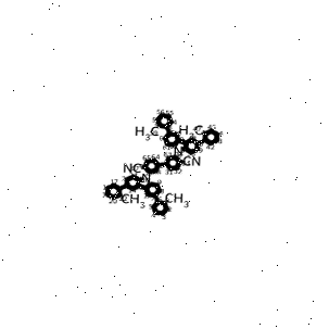 Cc1ccccc1-c1ccc2c(c1)c1cc(-c3ccccc3C)ccc1n2-c1cc(-c2ccc(C#N)c(-n3c4ccc(-c5ccccc5C)cc4c4cc(-c5ccccc5C)ccc43)c2)ccc1C#N